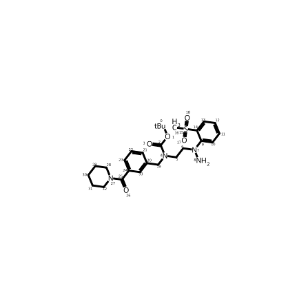 CC(C)(C)OC(=O)N(CCN(N)c1ccccc1S(C)(=O)=O)Cc1cccc(C(=O)N2CCCCC2)c1